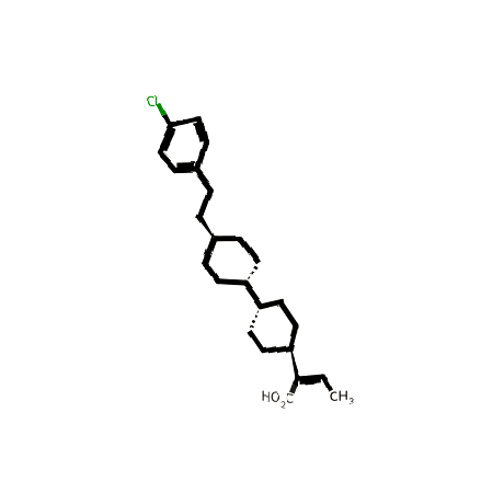 CC=C(C(=O)O)[C@H]1CC[C@H]([C@H]2CC[C@H](CCc3ccc(Cl)cc3)CC2)CC1